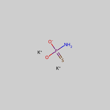 NP([O-])([O-])=S.[K+].[K+]